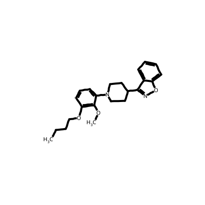 CCCCOc1[c]ccc(N2CCC(c3noc4ccccc34)CC2)c1OC